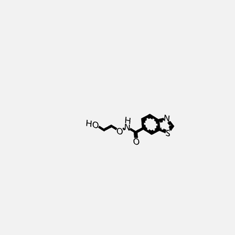 O=C(NOCCO)c1ccc2ncsc2c1